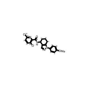 COc1ccc(-n2ncc3c2CCCC3NC(=O)c2nc(Cl)ccc2Cl)cc1